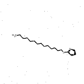 CCCCCCCCCCCCCCOc1cccs1